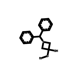 CCOC1(O)CN(C(c2ccccc2)c2ccccc2)C1